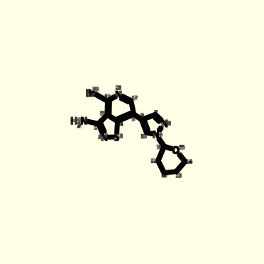 Nc1nsc2c(-c3cnn(C4CCCCO4)c3)cnc(Br)c12